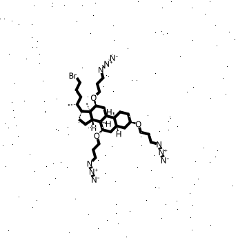 C[C@H](CCCBr)[C@H]1CC[C@H]2[C@@H]3[C@H](OCCCN=[N+]=[N-])C[C@@H]4C[C@H](OCCCN=[N+]=[N-])CC[C@]4(C)[C@H]3C[C@H](OCCCN=[N+]=[N-])[C@]12C